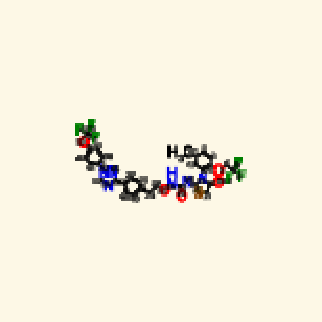 Cc1ccc(OCC(F)(F)F)c(N2C(=O)CS/C2=N\C(=O)NOCCc2ccc(-c3ncn(-c4ccc(OC(F)(F)F)cc4)n3)cc2)c1